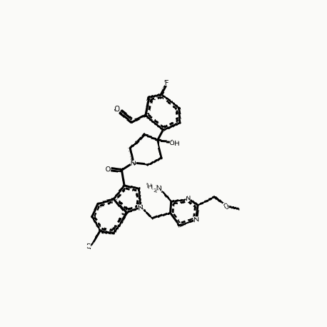 COCc1ncc(Cn2cc(C(=O)N3CCC(O)(c4ccc(F)cc4C=O)CC3)c3ccc(Cl)cc32)c(N)n1